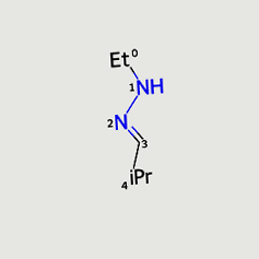 CCNN=CC(C)C